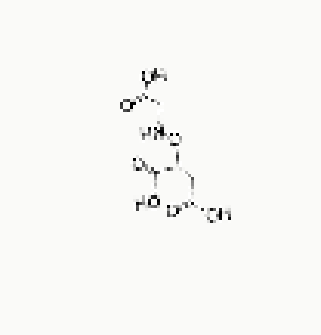 O=C(O)CNOC(CC(=O)O)C(=O)O